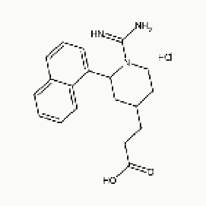 Cl.N=C(N)N1CCC(CCC(=O)O)CC1c1cccc2ccccc12